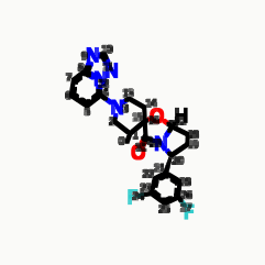 CC1CN(c2cccc3ncnn23)CCC12O[C@@H]1CC[C@@H](c3cc(F)cc(F)c3)N1C2=O